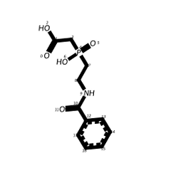 O=C(O)CP(=O)(O)CCNC(=O)c1ccccc1